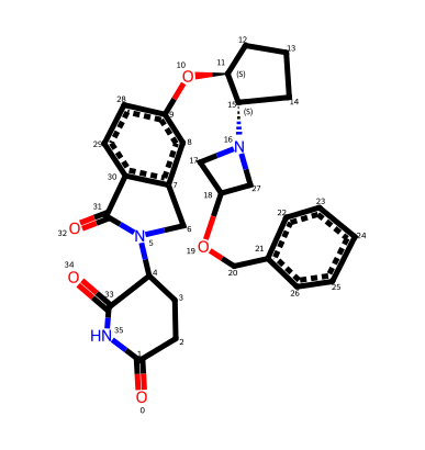 O=C1CCC(N2Cc3cc(O[C@H]4CCC[C@@H]4N4CC(OCc5ccccc5)C4)ccc3C2=O)C(=O)N1